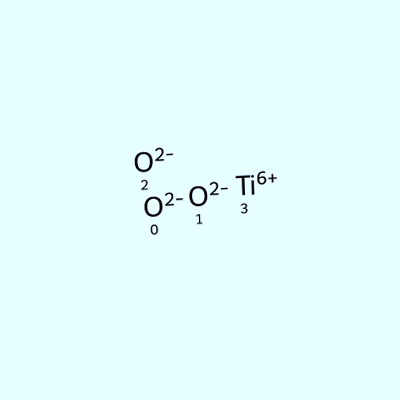 [O-2].[O-2].[O-2].[Ti+6]